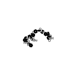 Cc1c(O[C@H]2CC[C@H](CCC(=O)N3CCN(c4ccc5c(C6CCC(=O)NC6=O)nn(C)c5c4)CC3)CC2)cccc1-c1ccc(N2CCc3cccc(C(=O)Nc4nc5ccccc5s4)c3C2)nc1C(=O)OC(C)(C)C